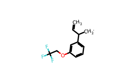 [CH2]C(C=C)c1cccc(OCC(F)(F)F)c1